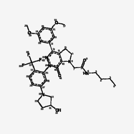 CCCCNC(=O)CN1CCc2c(-c3cc(OC)cc(OC)c3)nn(-c3cc(N4CCC(O)C4)ccc3C(F)(F)F)c(=O)c21